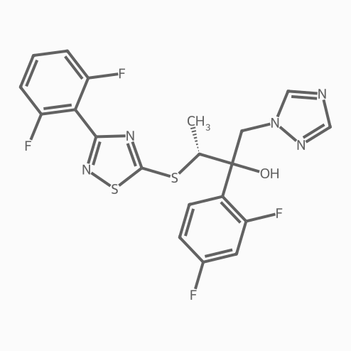 C[C@@H](Sc1nc(-c2c(F)cccc2F)ns1)C(O)(Cn1cncn1)c1ccc(F)cc1F